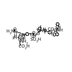 Cc1c(-c2ccc(N3CCc4cccc(C(=O)Nc5nc6ccccc6s5)c4C3)nc2C(=O)O)cnn1CC12CC3(C)CC(C)(C1)CC(OCCN(CCS(=O)(=O)O)C(=O)OCc1ccc(NC[C@H](CCCNC(N)=O)NC[C@@H](NC[C@@H](N)CCC(=O)O)C(C)C)cc1)(C3)C2